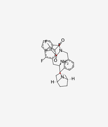 N[C@H](Cc1cc(F)c(F)cc1F)[C@@H]1C[C@H]2CC[C@@H](C1)N2Cc1cccc(CN2C(=O)c3ccccc3C2=O)c1